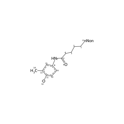 CCCCCCCCCCCCCC(=O)Nc1ccc([O])c(C)c1